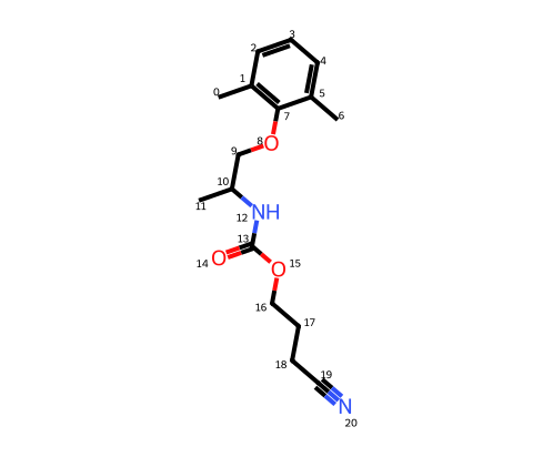 Cc1cccc(C)c1OCC(C)NC(=O)OCCCC#N